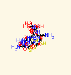 NCCCC[C@H](NC(=O)[C@H](CCCCN)NC(=O)[C@H](CS)NC(=O)[C@H](CS)NC(=O)[C@H](CS)NC(=O)[C@H](CS)NC(=O)[C@H](CC(N)=O)NC(=O)[C@@H](N)CC(N)=O)C(=O)N[C@@H](CC(=O)O)C(=O)N[C@@H](CO)C(=O)O